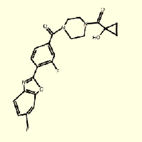 O=C(c1ccc(-c2nc3ccc(F)cc3o2)c(F)c1)N1CCN(C(=O)C2(O)CC2)CC1